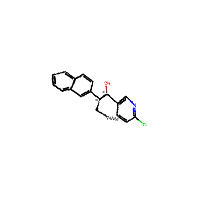 CNC[C@@H](c1ccc2ccccc2c1)[C@@H](O)c1ccc(Cl)nc1